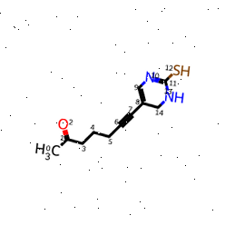 CC(=O)CCCC#CC1=CN=C(S)NC1